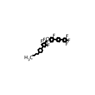 CCCCCC1CCC(c2cc(F)c(C(F)(F)Oc3ccc(-c4ccc(-c5cc(F)c(F)c(F)c5)cc4)c(F)c3)c(F)c2)CC1